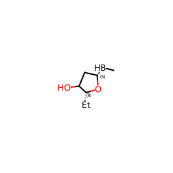 CB[C@H]1CC(O)[C@@H](CC)O1